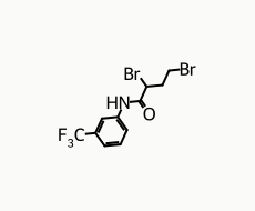 O=C(Nc1cccc(C(F)(F)F)c1)C(Br)CCBr